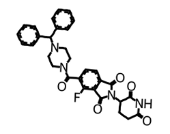 O=C1CCC(N2C(=O)c3ccc(C(=O)N4CCN(C(c5ccccc5)c5ccccc5)CC4)c(F)c3C2=O)C(=O)N1